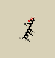 CC=C(C)CC(=CC)CC(=CC)CC(=CC)CCC(=CC)CC1CC(=O)OC1=O